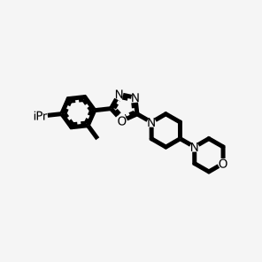 Cc1cc(C(C)C)ccc1-c1nnc(N2CCC(N3CCOCC3)CC2)o1